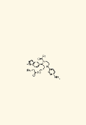 CCC(=O)N1CCN(c2ccc(N)cc2)C(CCNC(=O)OC(C)(C)C)C1c1ccc2[nH]ccc2c1